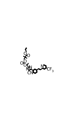 C=CCOC(=O)C(C)(C)COC(=O)OC(C)n1nc(C#N)c(-c2cccc(C=Cc3cc(C(F)(F)F)ccn3)c2)n1